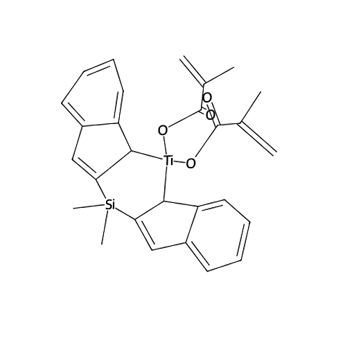 C=C(C)C(=O)[O][Ti]1([O]C(=O)C(=C)C)[CH]2C(=Cc3ccccc32)[Si](C)(C)C2=Cc3ccccc3[CH]21